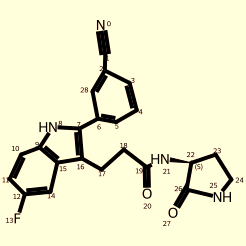 N#Cc1cccc(-c2[nH]c3ccc(F)cc3c2CCC(=O)N[C@H]2CCNC2=O)c1